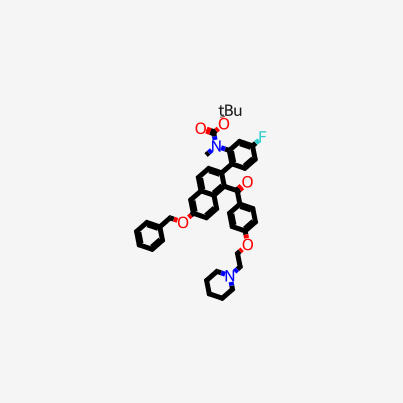 CN(C(=O)OC(C)(C)C)c1cc(F)ccc1-c1ccc2cc(OCc3ccccc3)ccc2c1C(=O)c1ccc(OCCN2CCCCC2)cc1